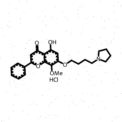 COc1c(OCCCCN2CCCC2)cc(O)c2c(=O)cc(-c3ccccc3)oc12.Cl